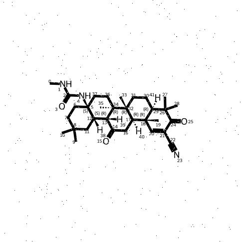 CNC(=O)N[C@]12CCC(C)(C)C[C@H]1[C@H]1C(=O)C[C@@H]3[C@@]4(C)C=C(C#N)C(=O)C(C)(C)[C@@H]4CC[C@@]3(C)[C@]1(C)CC2